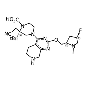 CN1C[C@H](F)C[C@H]1COc1nc2c(c(N3CCN(C(=O)O)[C@@](CC#N)(C(C)(C)C)C3)n1)CCNC2